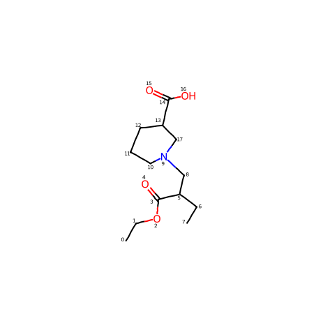 CCOC(=O)C(CC)CN1CCCC(C(=O)O)C1